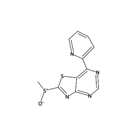 C[S+]([O-])c1nc2ncnc(-c3ccccn3)c2s1